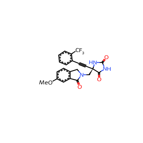 COc1ccc2c(c1)C(=O)N(C[C@@]1(C#Cc3ccccc3C(F)(F)F)NC(=O)NC1=O)C2